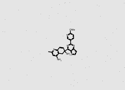 COc1ccc(-c2nc(C3(N)C=Cc4nc(C)cc(N)c4C3)c3sccc3n2)cn1